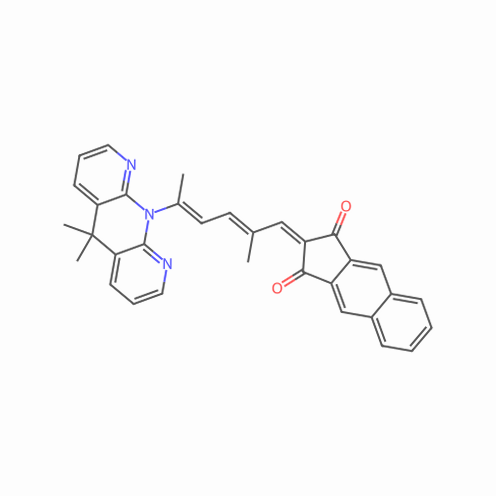 C/C(C=C1C(=O)c2cc3ccccc3cc2C1=O)=C\C=C(/C)N1c2ncccc2C(C)(C)c2cccnc21